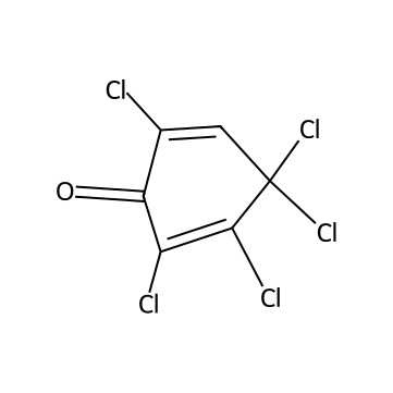 O=C1C(Cl)=CC(Cl)(Cl)C(Cl)=C1Cl